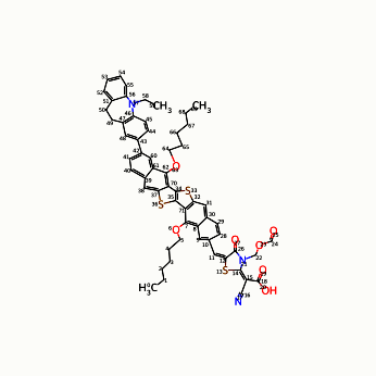 CCCCCCOc1c2cc(/C=c3/s/c(=C(\C#N)C(=O)O)n(COC=O)c3=O)ccc2cc2sc3c(sc4cc5ccc(-c6ccc7c(c6)CCc6ccccc6N7CC)cc5c(OCCCCCC)c43)c12